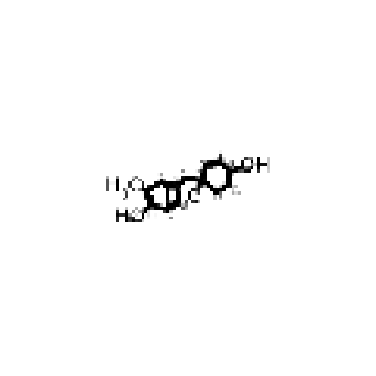 Cc1cc(CC2(C)C=CC(O)=CC2)ccc1O